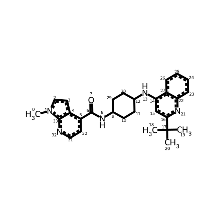 Cn1ccc2c(C(=O)NC3CCC(Nc4cc(C(C)(C)C)nc5ccccc45)CC3)ccnc21